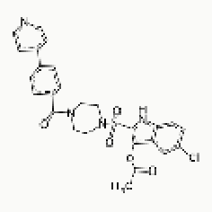 CC(=O)Oc1c(S(=O)(=O)N2CCN(C(=O)c3ccc(-c4ccncc4)cc3)CC2)[nH]c2ccc(Cl)cc12